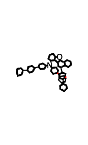 C1=CCC(c2ccc(N(c3ccc(-c4ccc(-c5ccccc5)cc4)cc3)c3cccc4oc5c6ccccc6c(-c6ccc(-c7ccccc7)cc6)cc5c34)cc2)C=C1